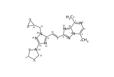 Cc1ncc(C)n2nc(C=Cc3nc(N4CCCC4)nn3CC3CC3)nc12